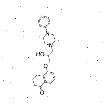 O=C1CCCc2c(OCC(O)CN3CCN(c4ccccc4)CC3)cccc21